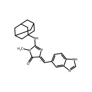 CN1C(=O)/C(=C/c2ccc3[nH]cnc3c2)N=C1NC12CC3CC(CC(C3)C1)C2